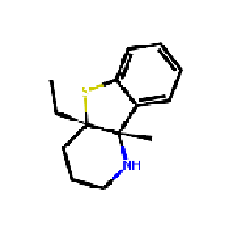 CC[C@]12CCCN[C@@]1(C)c1ccccc1S2